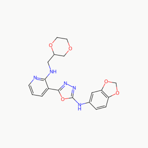 c1cnc(NCC2COCCO2)c(-c2nnc(Nc3ccc4c(c3)OCO4)o2)c1